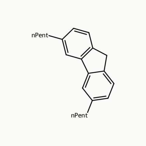 CCCCCc1ccc2c(c1)-c1cc(CCCCC)ccc1C2